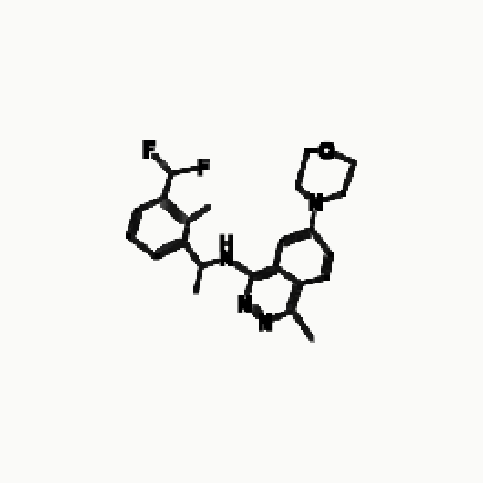 Cc1c(C(F)F)cccc1C(C)Nc1nnc(C)c2ccc(N3CCOCC3)cc12